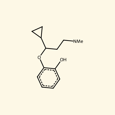 CNCCC(Oc1ccccc1O)C1CC1